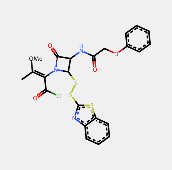 CO/C(C)=C(/C(=O)Cl)N1C(=O)C(NC(=O)COc2ccccc2)C1SSc1nc2ccccc2s1